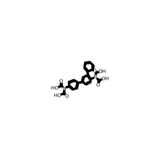 O=C(O)N(C(=O)O)c1ccc(-c2ccc(N(C(=O)O)C(=O)O)c(-c3ccccc3)c2)cc1